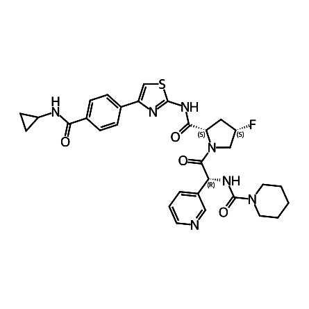 O=C(NC1CC1)c1ccc(-c2csc(NC(=O)[C@@H]3C[C@H](F)CN3C(=O)[C@H](NC(=O)N3CCCCC3)c3cccnc3)n2)cc1